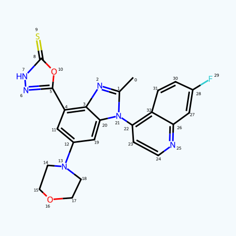 Cc1nc2c(-c3n[nH]c(=S)o3)cc(N3CCOCC3)cc2n1-c1ccnc2cc(F)ccc12